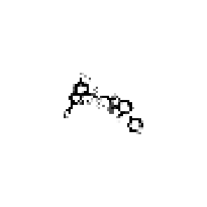 Cc1cc(S(=O)(=O)N(C)Cc2nc3ccn(C4CCOCC4)c(=O)c3[nH]2)c2[nH]c(C#N)cc2c1